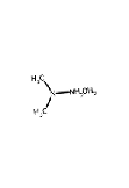 CN(C)N.O